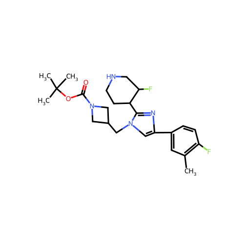 Cc1cc(-c2cn(CC3CN(C(=O)OC(C)(C)C)C3)c(C3CCNCC3F)n2)ccc1F